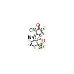 O=C(c1cc(F)c([O-])c(Cl)c1)c1ccccc1C(F)(F)F.[Na+]